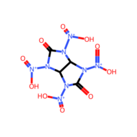 O=C1N([N+](=O)O)C2C(N1[N+](=O)O)N([N+](=O)O)C(=O)N2[N+](=O)O